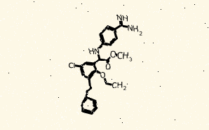 [CH2]COc1c(CCc2ccccc2)cc(Cl)cc1C(Nc1ccc(C(=N)N)cc1)C(=O)OC